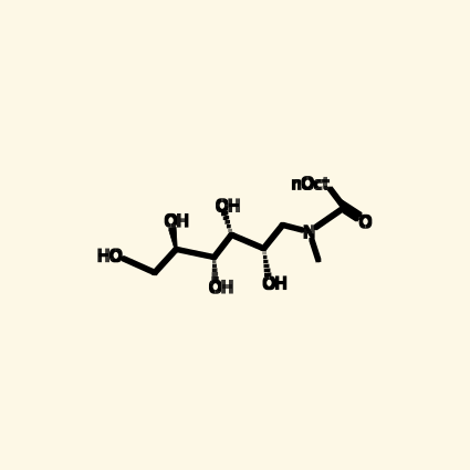 CCCCCCCCC(=O)N(C)C[C@H](O)[C@@H](O)[C@H](O)[C@H](O)CO